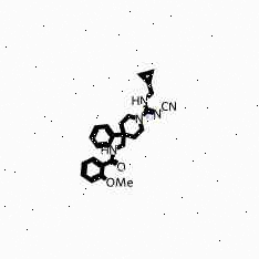 COc1ccccc1C(=O)NCC1(c2ccccc2)CCN(/C(=N/C#N)NCC2CC2)CC1